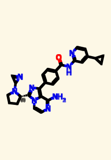 Nc1nccn2c([C@@H]3CCCN3C3C=N3)nc(-c3ccc(C(=O)Nc4cc(C5CC5)ccn4)cc3)c12